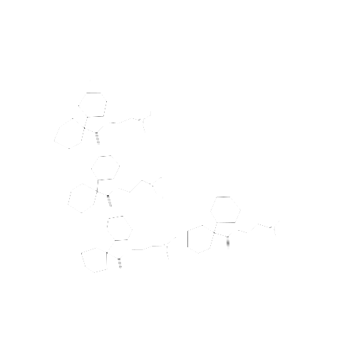 CCN(CC)CCOC(=O)C1(C2CCCCC2)CCCCC1.CCN(CC)CCOC(=O)C1(C2CCCCC2)CCCCC1.CCN(CC)CCOC(=O)C1(C2CCCCC2)CCCCC1.CCN(CC)CCOC(=O)C1(C2CCCCC2)CCCCC1.[S-2].[S-2]